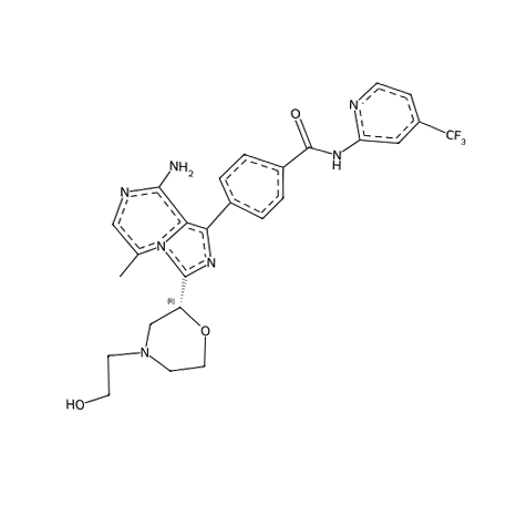 Cc1cnc(N)c2c(-c3ccc(C(=O)Nc4cc(C(F)(F)F)ccn4)cc3)nc([C@H]3CN(CCO)CCO3)n12